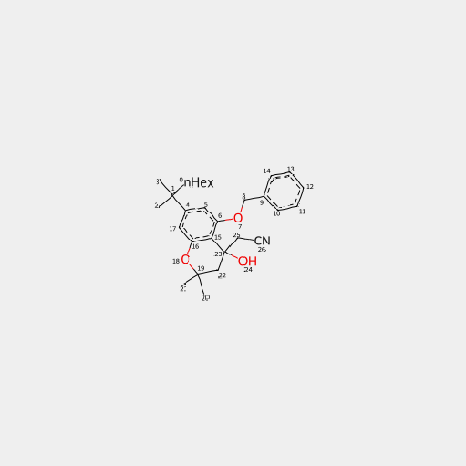 CCCCCCC(C)(C)c1cc(OCc2ccccc2)c2c(c1)OC(C)(C)CC2(O)CC#N